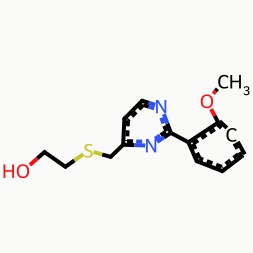 COc1ccccc1-c1nccc(CSCCO)n1